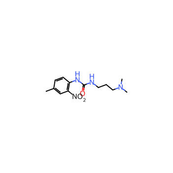 Cc1ccc(NC(=O)NCCCN(C)C)c([N+](=O)[O-])c1